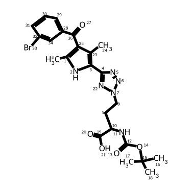 Cc1[nH]c(-c2nnn(CCC(NC(=O)OC(C)(C)C)C(=O)O)n2)c(C)c1C(=O)c1cccc(Br)c1